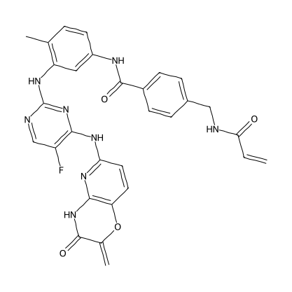 C=CC(=O)NCc1ccc(C(=O)Nc2ccc(C)c(Nc3ncc(F)c(Nc4ccc5c(n4)NC(=O)C(=C)O5)n3)c2)cc1